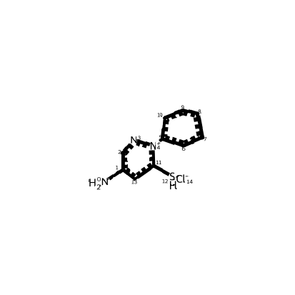 Nc1cn[n+](-c2ccccc2)c(S)c1.[Cl-]